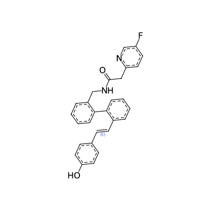 O=C(Cc1ccc(F)cn1)NCc1ccccc1-c1ccccc1/C=C/c1ccc(O)cc1